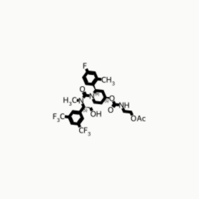 CC(=O)OCCNC(=O)O[C@H]1CCN(C(=O)N(C)[C@H](CO)c2cc(C(F)(F)F)cc(C(F)(F)F)c2)[C@@H](c2ccc(F)cc2C)C1